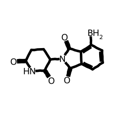 Bc1cccc2c1C(=O)N(C1CCC(=O)NC1=O)C2=O